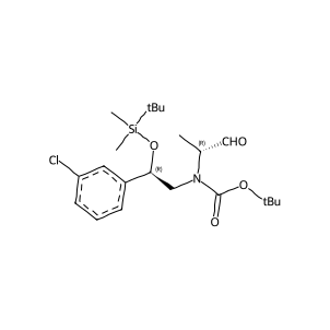 C[C@H](C=O)N(C[C@H](O[Si](C)(C)C(C)(C)C)c1cccc(Cl)c1)C(=O)OC(C)(C)C